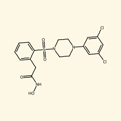 O=C(Cc1ccccc1S(=O)(=O)N1CCN(c2cc(Cl)cc(Cl)c2)CC1)NO